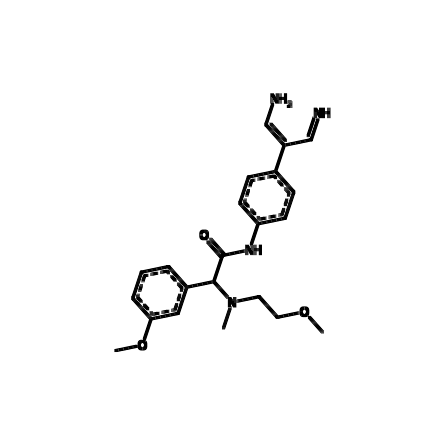 COCCN(C)C(C(=O)Nc1ccc(/C(C=N)=C/N)cc1)c1cccc(OC)c1